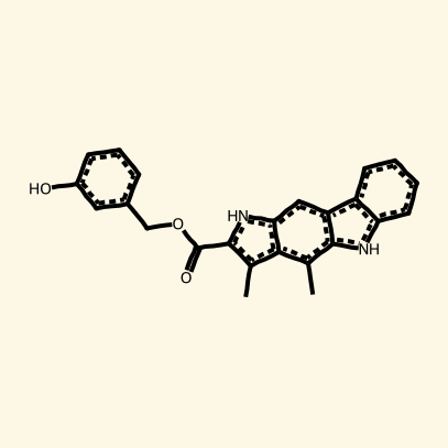 Cc1c(C(=O)OCc2cccc(O)c2)[nH]c2cc3c([nH]c4ccccc43)c(C)c12